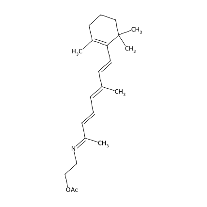 CC(=O)OCC/N=C(C)/C=C/C=C(C)/C=C/C1=C(C)CCCC1(C)C